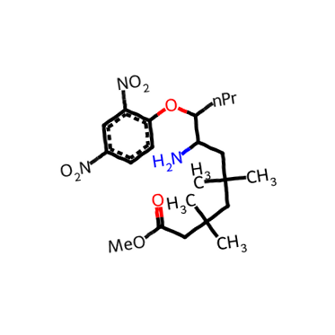 CCCC(Oc1ccc([N+](=O)[O-])cc1[N+](=O)[O-])C(N)CC(C)(C)CC(C)(C)CC(=O)OC